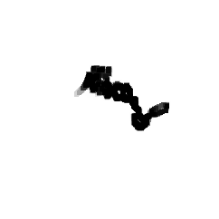 O=C(O)C1(CN2CC3(Cc4ccc(OCCc5ccccc5Cl)cc4C3)C2)CC1